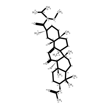 CON(C(=O)[C@@]1(C)CC[C@]2(C)CC[C@]3(C)C(=CC(=O)[C@@H]4[C@@]5(C)CC[C@H](OC(C)=O)C(C)(C)C5CC[C@]43C)[C@@H]2C1)C(C)C